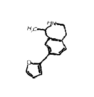 CC1NCCc2ccc(-c3ccco3)cc21